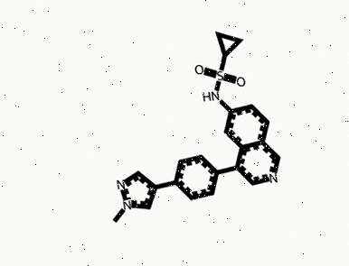 Cn1cc(-c2ccc(-c3cncc4ccc(NS(=O)(=O)C5CC5)cc34)cc2)cn1